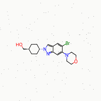 OC[C@H]1CC[C@H](n2cc3cc(Br)c(N4CCOCC4)cc3n2)CC1